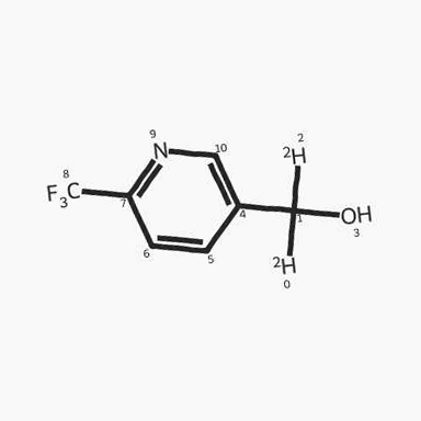 [2H]C([2H])(O)c1ccc(C(F)(F)F)nc1